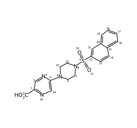 O=C(O)c1cnc(N2CCN(S(=O)(=O)c3ccc4ccccc4c3)CC2)cn1